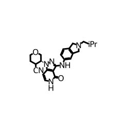 CC(C)CN1Cc2ccc(Nc3nn([C@H]4COCCC4C#N)c4cc[nH]c(=O)c34)cc2C1